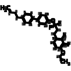 C=CCCc1ccc(-c2ccc(OC(F)(F)CCc3ccc(OCC)c(F)c3F)cc2)cc1